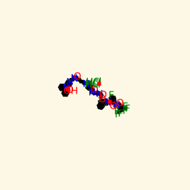 CN(CCN1CCC(N(C(=O)O)c2ccccc2-c2ccccc2)CC1)C(=O)CCCCCN1CCc2cc(C(=O)N(C)CCCN(C)C(=O)CO[C@H]3Cc4ccccc4C34CCN(CC[C@@]3(c5ccc(F)cc5)CN(C(=O)c5cc(C(F)(F)F)cc(C(F)(F)F)c5)CO3)CC4)ccc21.Cl.Cl.Cl